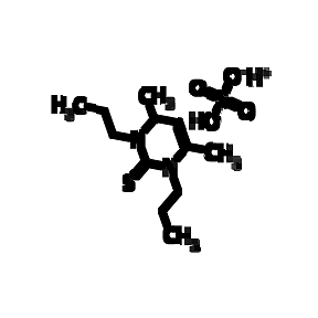 CCCN1C(=S)N(CCC)C(C)C=C1C.O=S(=O)([O-])O.[H+]